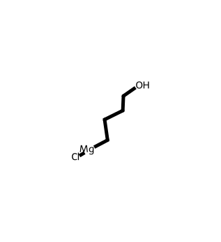 OCCC[CH2][Mg][Cl]